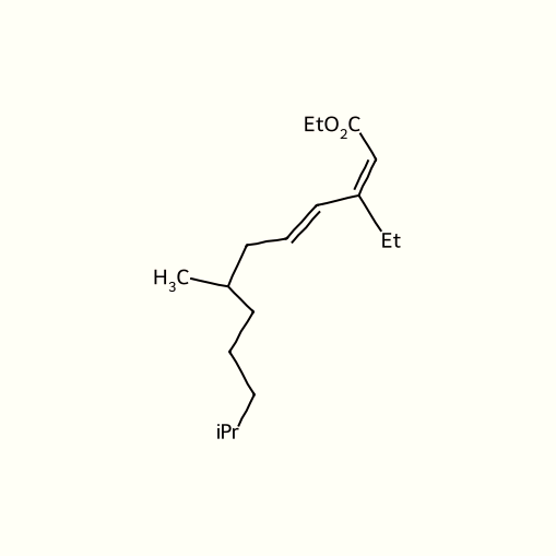 CCOC(=O)C=C(C=CCC(C)CCCC(C)C)CC